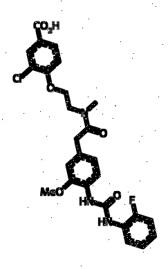 COc1cc(CC(=O)N(C)CCOc2ccc(C(=O)O)cc2Cl)ccc1NC(=O)Nc1ccccc1F